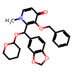 Cn1ccc(=O)c(OCc2ccccc2)c1C(OC1CCCCO1)c1ccc2c(c1)OCO2